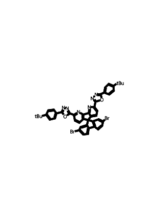 CC(C)(C)c1ccc(-c2nnc(-c3ccc4c(n3)-c3nc(-c5nnc(-c6ccc(C(C)(C)C)cc6)o5)ccc3C43c4cc(Br)ccc4-c4ccc(Br)cc43)o2)cc1